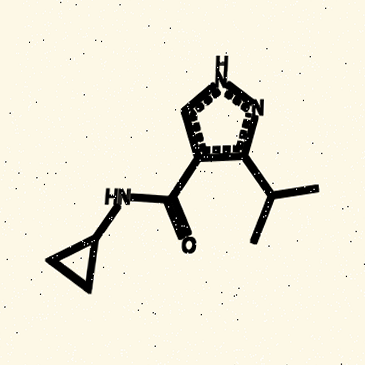 CC(C)c1n[nH]cc1C(=O)NC1CC1